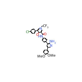 COc1ccc(-c2cnc(N)c(-c3ccc(NC(=O)c4cn(CC(F)(F)F)cc(-c5ccc(Cl)cc5)c4=O)cc3)c2)cc1OC